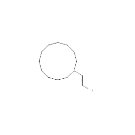 OCCC1CCCCCCCCCCC1